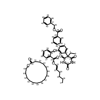 CCC1(c2ccccc2)C(=O)NC(=O)NC1=O.CCCC/C=C/OC(=O)c1ccccc1O.O=C(OCc1ccccc1)c1ccccc1.O=C1CCCCCCCCCCCCCCO1